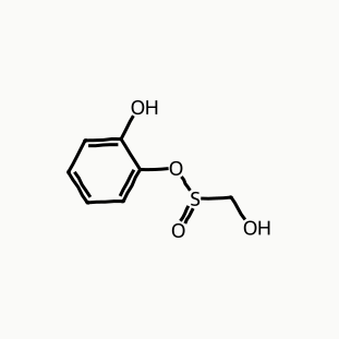 O=S(CO)Oc1ccccc1O